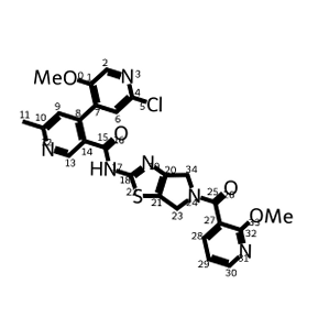 COc1cnc(Cl)cc1-c1cc(C)ncc1C(=O)Nc1nc2c(s1)CN(C(=O)c1cccnc1OC)C2